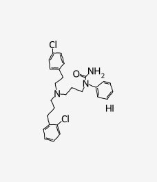 I.NC(=O)N(CCCN(CCCc1ccccc1Cl)CCc1ccc(Cl)cc1)c1ccccc1